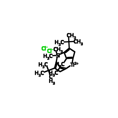 CC1=[C]2CC(C(C)(C)C)=C1[Si](C)(C)C1=C(C(C)(C)C)C[C](=C1C)[Ti+2]2.[Cl-].[Cl-]